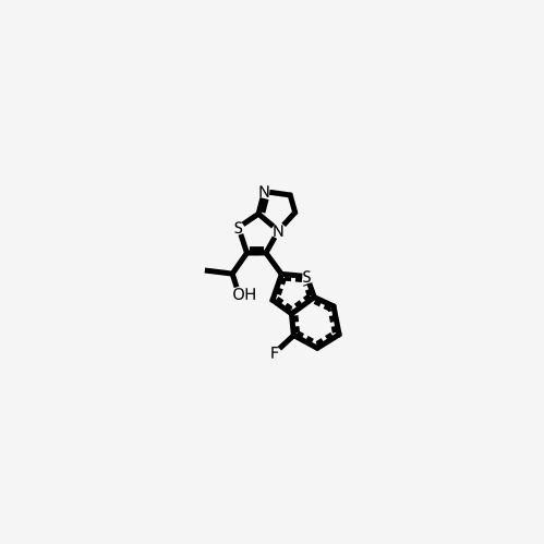 CC(O)C1=C(c2cc3c(F)cccc3s2)N2CCN=C2S1